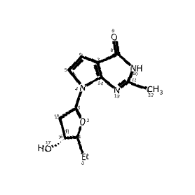 CCC1OC(n2ccc3c(=O)[nH]c(C)nc32)C[C@H]1O